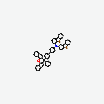 c1ccc2c(c1)-c1cc(-c3ccc(N(c4ccc5sc6ccccc6c5c4)c4cccc5c4sc4ccccc45)cc3)ccc1C21c2ccc3ccccc3c2Oc2c1ccc1ccccc21